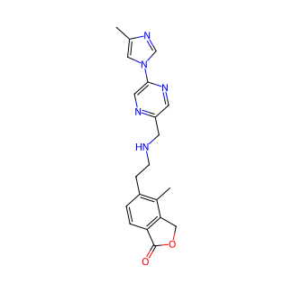 Cc1cn(-c2cnc(CNCCc3ccc4c(c3C)COC4=O)cn2)cn1